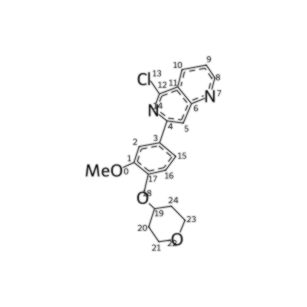 COc1cc(-c2cc3ncccc3c(Cl)n2)ccc1OC1CCOCC1